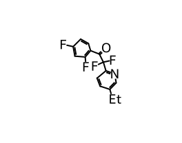 CCc1ccc(C(F)(F)C(=O)c2ccc(F)cc2F)nc1